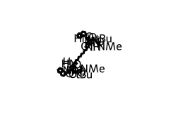 CN[C@@H](C)C(=O)N[C@H](C(=O)N1CC(NC(=O)CCCCCCCCC(=O)N[C@H]2C[C@@H](C(=O)N[C@@H]3CCCc4ccccc43)N(C(=O)[C@@H](NC(=O)[C@H](C)NC)C(C)(C)C)C2)C[C@H]1C(=O)N[C@@H]1CCCc2ccccc21)C(C)(C)C